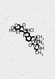 CC[C@@]1(O)C(=O)OCc2c1cc1n(c2=O)Cc2cc3c(CN(C)C)c(OC(=O)N4C[C@H](C)NC[C@H]4C)ccc3nc2-1.Cl